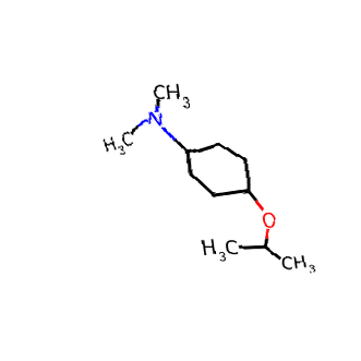 CC(C)OC1CCC(N(C)C)CC1